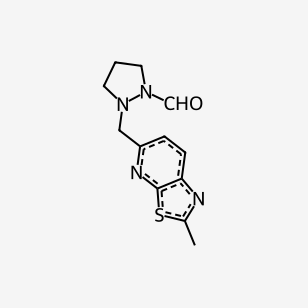 Cc1nc2ccc(CN3CCCN3C=O)nc2s1